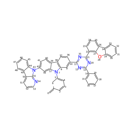 C=C/C=C\C=C(/C)n1c2cc(-c3nc(-c4ccccc4)nc(-c4cccc5c4oc4ccccc45)n3)ccc2c2ccc(-n3c4ccccc4c4cccnc43)cc21